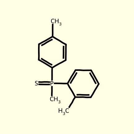 Cc1ccc(P(C)(=S)c2ccccc2C)cc1